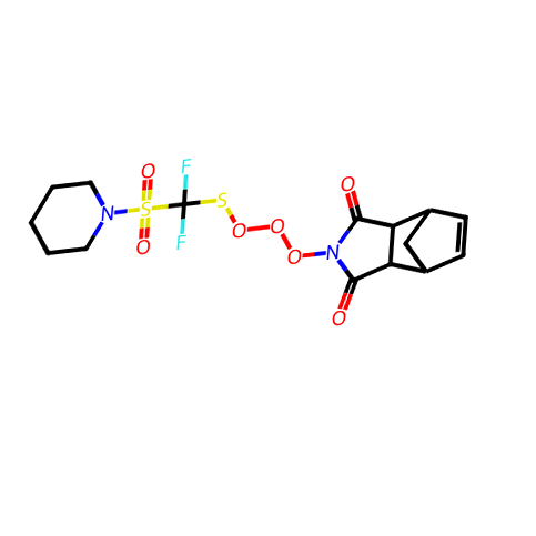 O=C1C2C3C=CC(C3)C2C(=O)N1OOOSC(F)(F)S(=O)(=O)N1CCCCC1